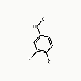 OBc1ccc(Cl)c(Cl)c1